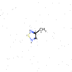 CC1=NS[N+]=C1